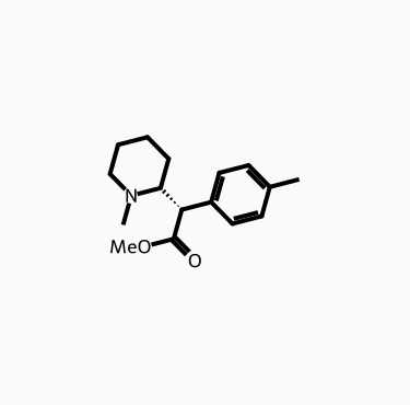 COC(=O)[C@@H](c1ccc(C)cc1)C1CCCCN1C